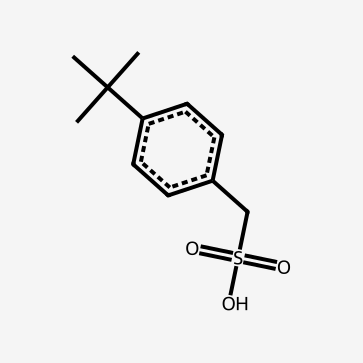 CC(C)(C)c1ccc(CS(=O)(=O)O)cc1